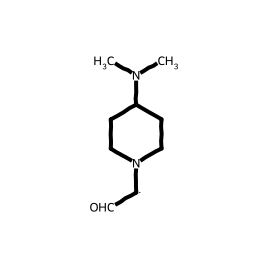 CN(C)C1CCN([CH]C=O)CC1